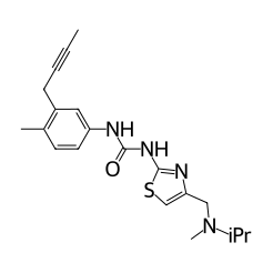 CC#CCc1cc(NC(=O)Nc2nc(CN(C)C(C)C)cs2)ccc1C